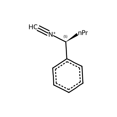 C#[N+][C@@H](CCC)c1ccccc1